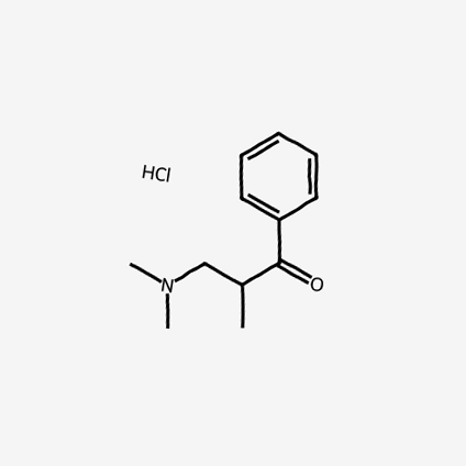 CC(CN(C)C)C(=O)c1ccccc1.Cl